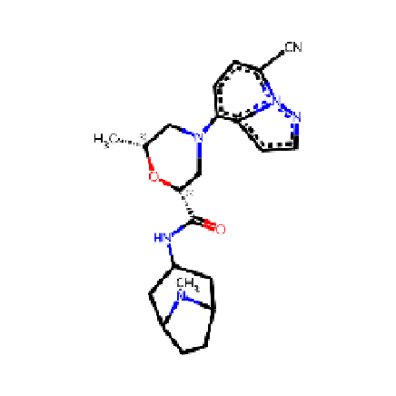 C[C@@H]1CN(c2ccc(C#N)n3nccc23)C[C@H](C(=O)NC2CC3CCC(C2)N3C)O1